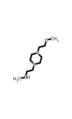 CNCCN1CCN(CCOC)CC1